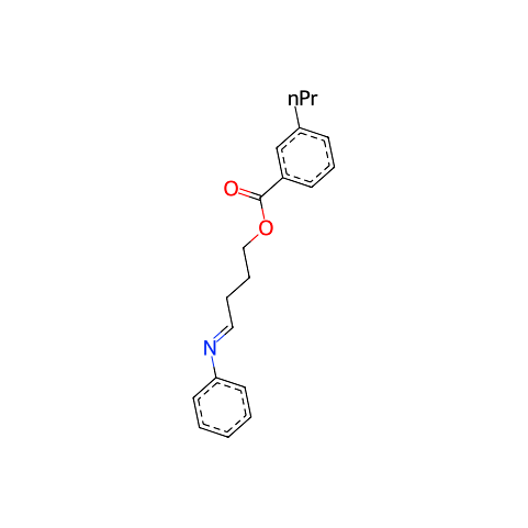 CCCc1cccc(C(=O)OCCCC=Nc2ccccc2)c1